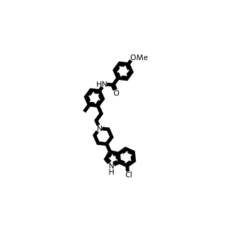 COc1ccc(C(=O)Nc2ccc(C)c(CCN3CCC(c4c[nH]c5c(Cl)cccc45)CC3)c2)cc1